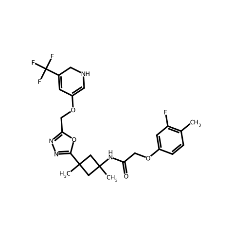 Cc1ccc(OCC(=O)NC2(C)CC(C)(c3nnc(COC4=CNCC(C(F)(F)F)=C4)o3)C2)cc1F